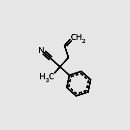 C=CCC(C)(C#N)c1ccccc1